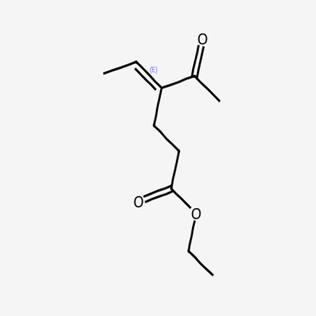 C/C=C(\CCC(=O)OCC)C(C)=O